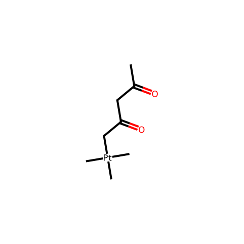 CC(=O)CC(=O)[CH2][Pt]([CH3])([CH3])[CH3]